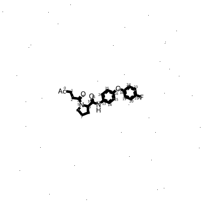 CC(=O)CCC(=O)N1CCCC1C(=O)Nc1ccc(Oc2ccc(F)cc2)cc1